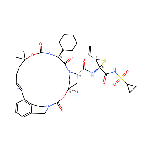 C=C[C@@H]1S[C@]1(NC(=O)[C@@H]1C[C@@H]2CN1C(=O)[C@H](C1CCCCC1)NC(=O)OC(C)(C)CC/C=C/c1cccc3c1CN(C3)C(=O)O2)C(=O)NS(=O)(=O)C1CC1